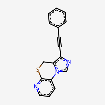 C(#Cc1ncn2c1CSc1ncccc1-2)c1ccccc1